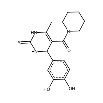 CC1=C(C(=O)N2CCCCC2)C(c2ccc(O)c(O)c2)NC(=S)N1